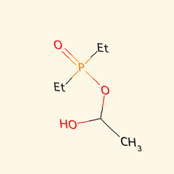 CCP(=O)(CC)OC(C)O